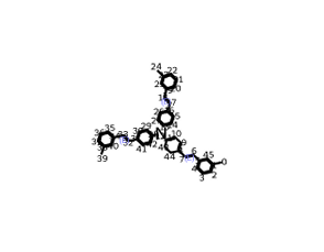 Cc1cccc(/C=C/C2=CC=C(N(c3ccc(/C=C/c4cccc(C)c4)cc3)c3ccc(/C=C/c4cccc(C)c4)cc3)CC2)c1